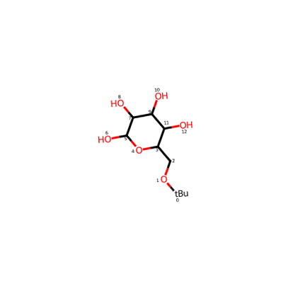 CC(C)(C)OCC1OC(O)C(O)C(O)C1O